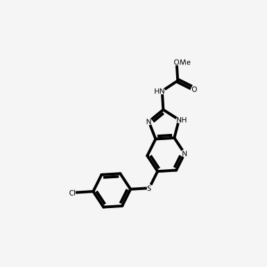 COC(=O)Nc1nc2cc(Sc3ccc(Cl)cc3)cnc2[nH]1